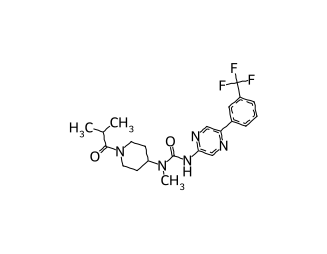 CC(C)C(=O)N1CCC(N(C)C(=O)Nc2cnc(-c3cccc(C(F)(F)F)c3)cn2)CC1